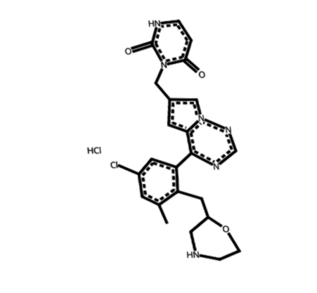 Cc1cc(Cl)cc(-c2ncnn3cc(Cn4c(=O)cc[nH]c4=O)cc23)c1CC1CNCCO1.Cl